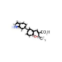 O=C(O)C1=Cc2cc(-c3ccc4cc[nH]c4c3)ccc2OC1C(F)(F)F